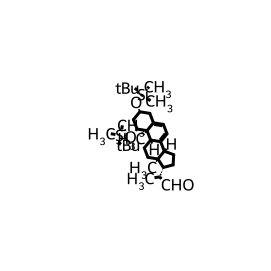 CC(C=O)[C@H]1CC[C@H]2C3=CC=C4C[C@@H](O[Si](C)(C)C(C)(C)C)C[C@H](O[Si](C)(C)C(C)(C)C)[C@]4(C)[C@H]3CC[C@]12C